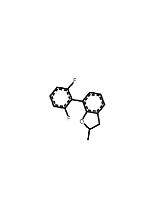 CC1Cc2cccc(-c3c(F)cccc3F)c2O1